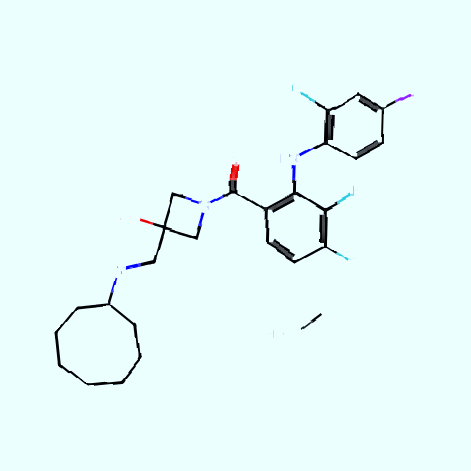 CC(=O)O.O=C(c1ccc(F)c(F)c1Nc1ccc(I)cc1F)N1CC(O)(CNC2CCCCCCC2)C1